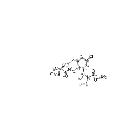 CO[C@](C)(C(=O)N1CCc2cc(Cl)cc([C@@H]3CCCN3C(=O)OC(C)(C)C)c2C1)C(F)(F)F